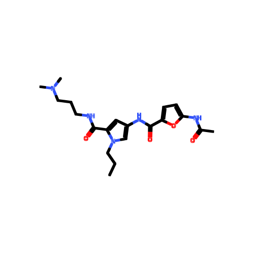 CCCn1cc(NC(=O)c2ccc(NC(C)=O)o2)cc1C(=O)NCCCN(C)C